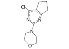 Clc1nc(N2CCOCC2)nc2c1CCC2